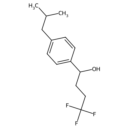 CC(C)Cc1ccc(C(O)CCC(F)(F)F)cc1